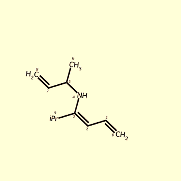 C=C/C=C(\NC(C)C=C)C(C)C